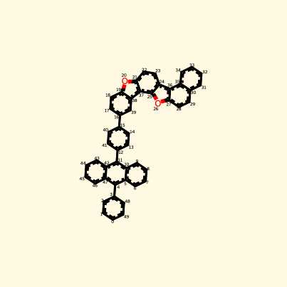 c1ccc(-c2c3ccccc3c(-c3ccc(-c4ccc5oc6ccc7c(oc8ccc9ccccc9c87)c6c5c4)cc3)c3ccccc23)cc1